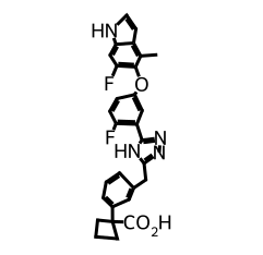 Cc1c(Oc2ccc(F)c(-c3nnc(Cc4cccc(C5(C(=O)O)CCC5)c4)[nH]3)c2)c(F)cc2[nH]ccc12